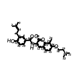 CC(C)=CCc1cc(C(=O)Nc2cc3ccc(OCCN(C)C)c(C)c3oc2=O)ccc1O